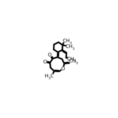 C=C/C=C1\C(=C2/C/C(=C\C)O/C=C(/C)CC(=O)C2=O)CCCC1(C)C